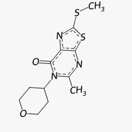 CSc1nc2c(=O)n(C3CCOCC3)c(C)nc2s1